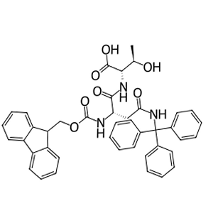 C[C@@H](O)[C@H](NC(=O)[C@H](CC(=O)NC(c1ccccc1)(c1ccccc1)c1ccccc1)NC(=O)OCC1c2ccccc2-c2ccccc21)C(=O)O